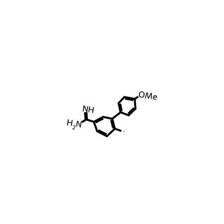 [CH2]c1ccc(C(=N)N)cc1-c1ccc(OC)cc1